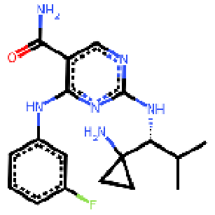 CC(C)[C@@H](Nc1ncc(C(N)=O)c(Nc2cccc(F)c2)n1)C1(N)CC1